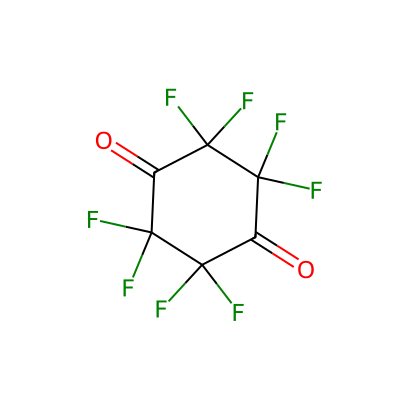 O=C1C(F)(F)C(F)(F)C(=O)C(F)(F)C1(F)F